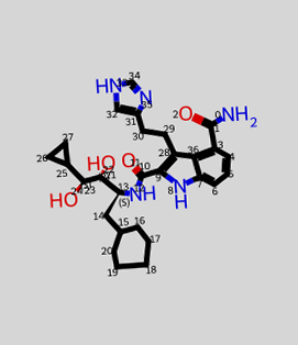 NC(=O)c1cccc2[nH]c(C(=O)N[C@@H](CC3CCCCC3)[C@@H](O)[C@@H](O)C3CC3)c(CCc3c[nH]cn3)c12